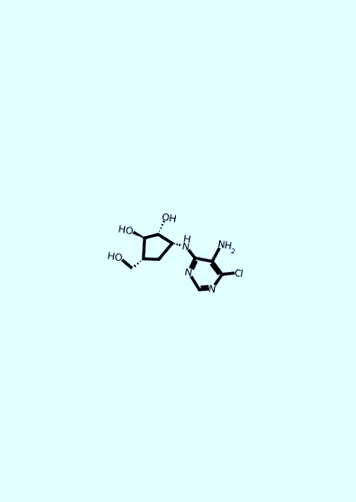 Nc1c(Cl)ncnc1N[C@@H]1C[C@H](CO)[C@@H](O)[C@@H]1O